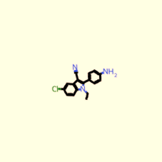 CCn1c(-c2ccc(N)cc2)c(C#N)c2cc(Cl)ccc21